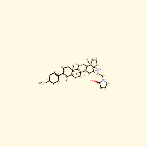 CC1C(C2=CCC(C(=O)O)CC2)=CCC2(C)C1CCC1(C)C2CCC2[C@H]3CCCC3(NCCN3CCCC3=O)CC[C@]21C